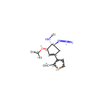 CCN[C@@H]1[C@@H](N=[N+]=[N-])CC(c2ccsc2C=O)=C[C@H]1OC(CC)CC